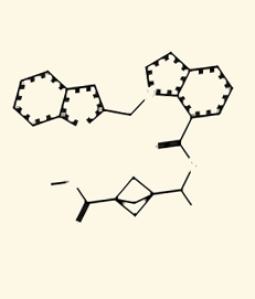 COC(=O)C12CC(C(C)NC(=O)c3cccc4ccn(Cc5cc6ccccc6o5)c34)(C1)C2